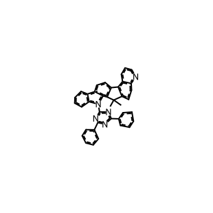 CC1(C)c2ccc3ncccc3c2-c2ccc3c4ccccc4n(-c4nc(-c5ccccc5)nc(-c5ccccc5)n4)c3c21